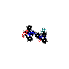 COC(=O)C(Cc1ccccc1)NC(=O)C(c1ccccc1)N1CCN(c2ccc(NC(=O)c3ccccc3-c3ccc(C(F)(F)F)cc3)cc2)CC1